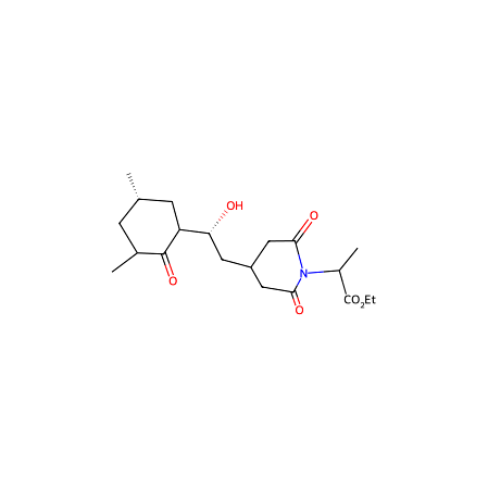 CCOC(=O)C(C)N1C(=O)CC(C[C@@H](O)C2C[C@@H](C)CC(C)C2=O)CC1=O